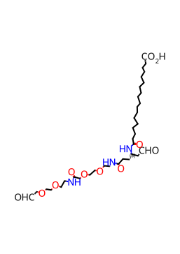 O=CCOCCOCCNC(=O)COCCOCCNC(=O)CC[C@@H](CC=O)NC(=O)CCCCCCCCCCCCCCCCC(=O)O